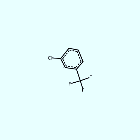 FC(F)(F)c1[c]c(Cl)ccc1